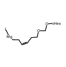 CCCCCCOCOCC/C=C\C[CH2][Mg][I]